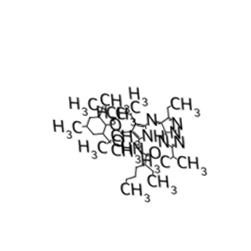 CCCCC(CC)C(=O)Nc1[nH]c(/N=C2/C(CC)=Nn3nc(C(C)C)nc32)c(C(C)C)c1C(=O)OC1C(C(C)(C)C)CC(C)CC1C(C)(C)C